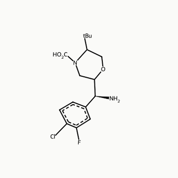 CC(C)(C)C1COC([C@@H](N)c2ccc(Cl)c(F)c2)CN1C(=O)O